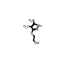 Cc1c(OCCO)n[nH]c1N